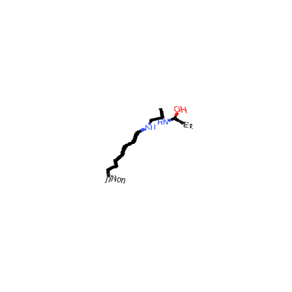 CCCCCCCCCCCCCCCCNCC(C)NC(O)CC